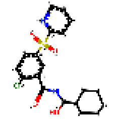 O=C(NC(O)C1CCCCC1)c1cc(S(=O)(=O)c2ccccn2)ccc1Cl